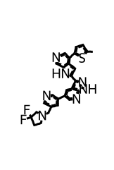 Cc1ccc(-c2cncc3[nH]c(-c4n[nH]c5ncc(-c6cncc(CN7CCC(F)(F)C7)c6)cc45)cc23)s1